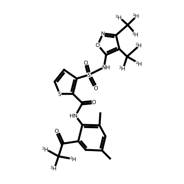 [2H]C([2H])([2H])C(=O)c1cc(C)cc(C)c1NC(=O)c1sccc1S(=O)(=O)Nc1onc(C([2H])([2H])[2H])c1C([2H])([2H])[2H]